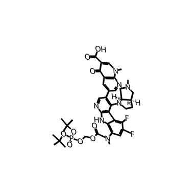 CN1C[C@H]2CCN(c3c(-c4cnc5c(c4)c(=O)c(C(=O)O)cn5C)cnc4[nH]c5c(N(C)C(=O)OCOP(=O)(OC(C)(C)C)OC(C)(C)C)cc(F)c(F)c5c34)[C@H]2C1